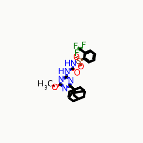 COc1nc(NC(=O)NS(=O)(=O)c2ccccc2C(F)(F)F)nc(C23CC4CC(CC(C4)C2)C3)n1